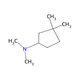 CN(C)C1CCC(C)(C)C1